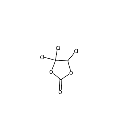 O=C1OC(Cl)C(Cl)(Cl)O1